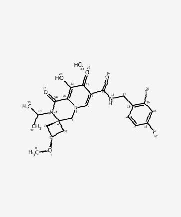 CO[C@H]1C[C@@]2(Cn3cc(C(=O)NCc4ccc(F)cc4F)c(=O)c(O)c3C(=O)N2C(C)C)C1.Cl